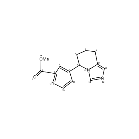 COC(=O)c1cc(C2CCCc3cncn32)ccn1